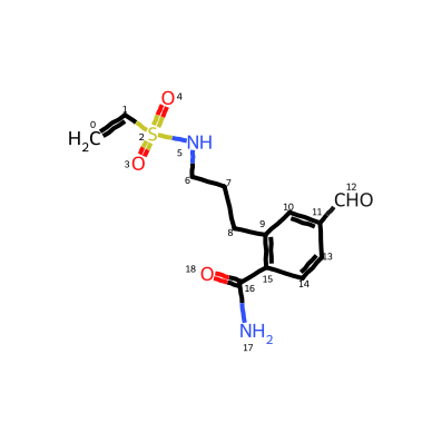 C=CS(=O)(=O)NCCCc1cc(C=O)ccc1C(N)=O